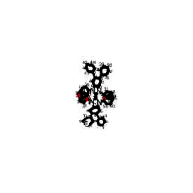 c1ccc(-c2cc3c(cc2-c2ccccc2)N(c2ccccc2)C(=C2N(c4ccccc4)c4cc(-c5ccccc5)c(-c5ccccc5)cc4N2c2ccccc2)N3c2ccccc2)cc1